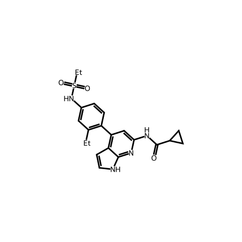 CCc1cc(NS(=O)(=O)CC)ccc1-c1cc(NC(=O)C2CC2)nc2[nH]ccc12